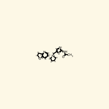 CC(=O)Nc1ncc(CN2CCC[C@@H]2c2cnc3c(c2)OCC3)s1